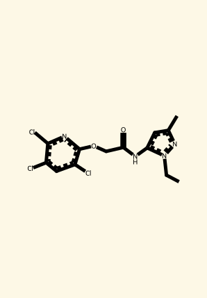 CCn1nc(C)cc1NC(=O)COc1nc(Cl)c(Cl)cc1Cl